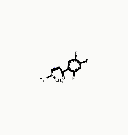 CN(C)/C=C\C(=O)c1cc(F)c(F)cc1F